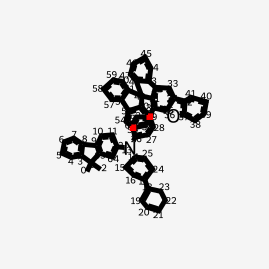 CC1(C)c2ccccc2-c2ccc(N(c3ccc(C4=CC=CCC4)cc3)c3ccc(-c4c5c(cc6c4oc4ccccc46)-c4ccccc4C54c5ccccc5-c5ccccc54)cc3)cc21